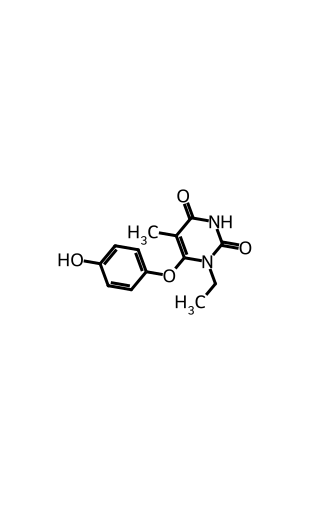 CCn1c(Oc2ccc(O)cc2)c(C)c(=O)[nH]c1=O